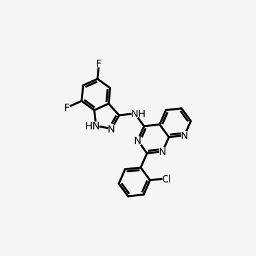 Fc1cc(F)c2[nH]nc(Nc3nc(-c4ccccc4Cl)nc4ncccc34)c2c1